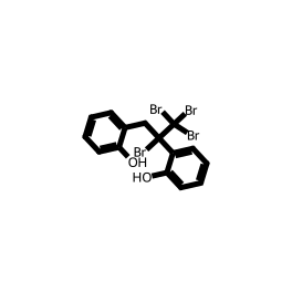 Oc1ccccc1CC(Br)(c1ccccc1O)C(Br)(Br)Br